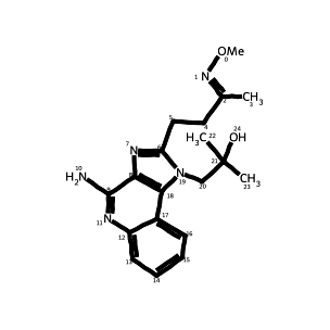 CON=C(C)CCc1nc2c(N)nc3ccccc3c2n1CC(C)(C)O